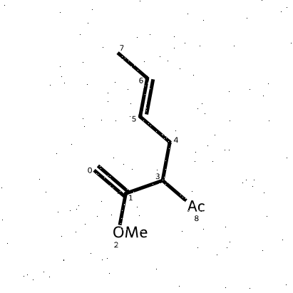 C=C(OC)C(C/C=C/C)C(C)=O